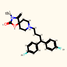 C=C1N(C(C)(C)C)C(=O)OC12CCN(CCCC(c1ccc(F)cc1)c1ccc(F)cc1)CC2